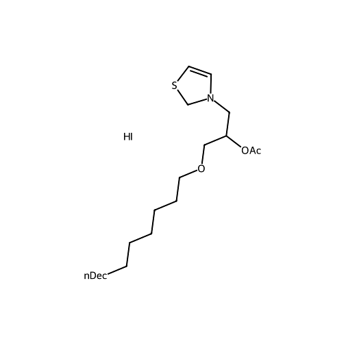 CCCCCCCCCCCCCCCCOCC(CN1C=CSC1)OC(C)=O.I